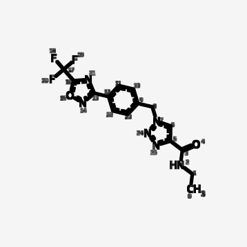 CCNC(=O)c1cn(Cc2ccc(-c3noc(C(F)(F)F)n3)cc2)nn1